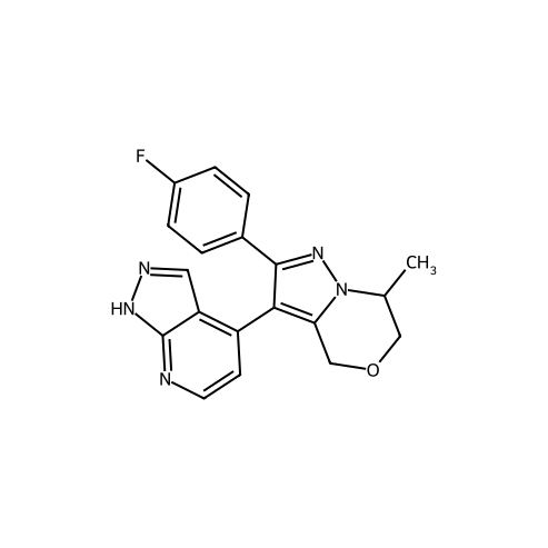 CC1COCc2c(-c3ccnc4[nH]ncc34)c(-c3ccc(F)cc3)nn21